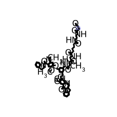 C=Nc1cc(OCc2cc(COc3cc4c(cc3OC)C(=O)N3c5ccccc5CC3C=N4)cc(NC(=O)C(C)NC(=O)CNC(=O)CCCCC(=O)NCCNC(=O)/C=C\C=O)c2)c(OC)cc1C(=O)N1CCc2ccccc21